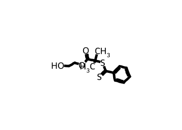 CC(C)(SC(=S)c1ccccc1)C(=O)OCCO